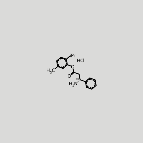 Cc1ccc(C(C)C)c(OC(=O)C[C@@H](N)c2ccccc2)c1.Cl